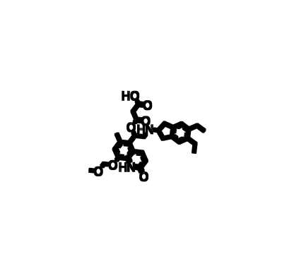 CCc1cc2c(cc1CC)CC(NCC(OC(=O)CC(=O)O)c1c(C)cc(OCOC)c3[nH]c(=O)ccc13)C2